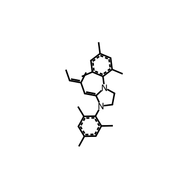 CC=C(C)C=C1N(c2c(C)cc(C)cc2C)CCN1c1c(C)cc(C)cc1C